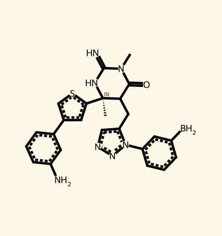 Bc1cccc(-n2nncc2CC2C(=O)N(C)C(=N)N[C@]2(C)c2cc(-c3cccc(N)c3)cs2)c1